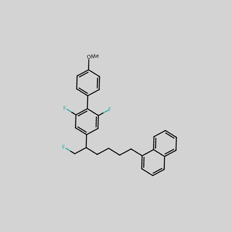 COc1ccc(-c2c(F)cc(C(CF)CCCCc3cccc4ccccc34)cc2F)cc1